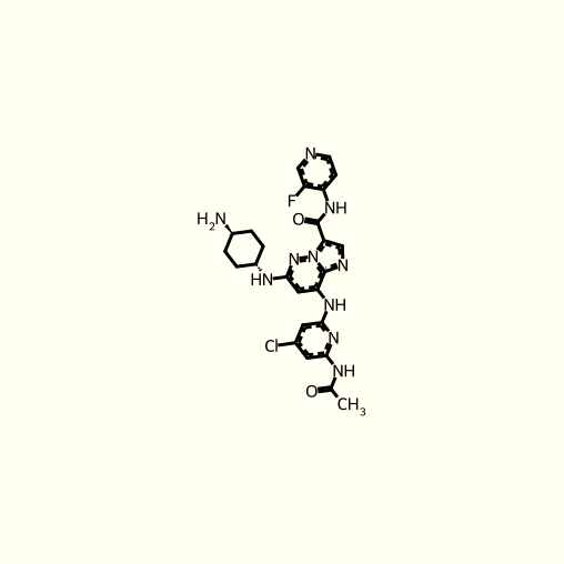 CC(=O)Nc1cc(Cl)cc(Nc2cc(N[C@H]3CC[C@H](N)CC3)nn3c(C(=O)Nc4ccncc4F)cnc23)n1